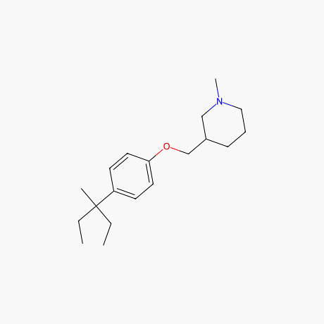 CCC(C)(CC)c1ccc(OCC2CCCN(C)C2)cc1